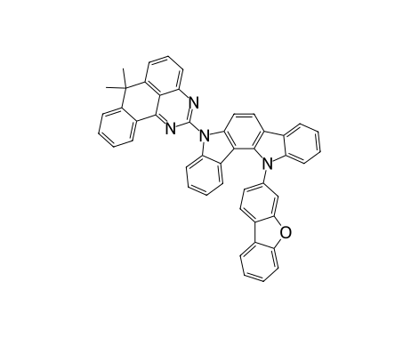 CC1(C)c2ccccc2-c2nc(-n3c4ccccc4c4c3ccc3c5ccccc5n(-c5ccc6c(c5)oc5ccccc56)c34)nc3cccc1c23